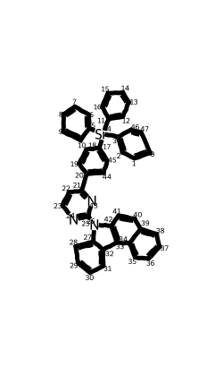 c1ccc([Si](c2ccccc2)(c2ccccc2)c2ccc(-c3ccnc(-n4c5ccccc5c5c6ccccc6ccc54)n3)cc2)cc1